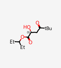 CCC(CC)OC(=O)[C@@H](O)CC(=O)C(C)(C)C